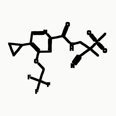 CC(C#N)(CNC(=O)c1cc(OCC(F)(F)F)c(C2CC2)cn1)S(C)(=O)=O